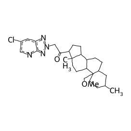 COCC12CCC(C)CC1CCC1C3CCC(C(=O)Cn4nc5cc(Cl)cnc5n4)C3(C)CCC12